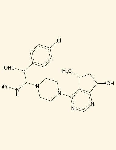 CC(C)NC(C(C=O)c1ccc(Cl)cc1)N1CCN(c2ncnc3c2[C@H](C)C[C@H]3O)CC1